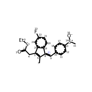 CCSC(=O)CC1=C(C)/C(=C/c2ccc([S+](C)[O-])cc2)c2ccc(F)cc21